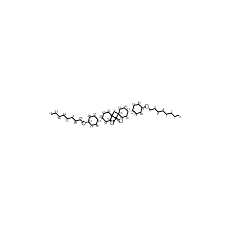 CCCCCCCCO[C@H]1CC[C@H](C2CCC3(CC2)CC2(CCC([C@H]4CC[C@H](OCCCCCCCC)CC4)CC2)C3(Cl)Cl)CC1